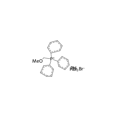 Br.COC[P+](c1ccccc1)(c1ccccc1)c1ccccc1.P.[Br-]